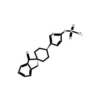 O=C1c2ccccc2C[C@]12CC[C@H](c1ccc(OS(=O)(=O)C(F)(F)F)nc1)CC2